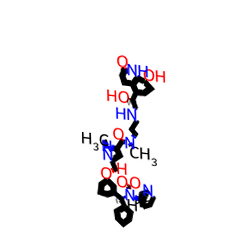 CN(CCCNC[C@H](O)c1ccc(O)c2[nH]c(=O)ccc12)C(=O)c1cc(COc2cccc([C@H](c3ccccc3)N(C(=O)O)[C@H]3CN4CCC3CC4)c2)nn1C